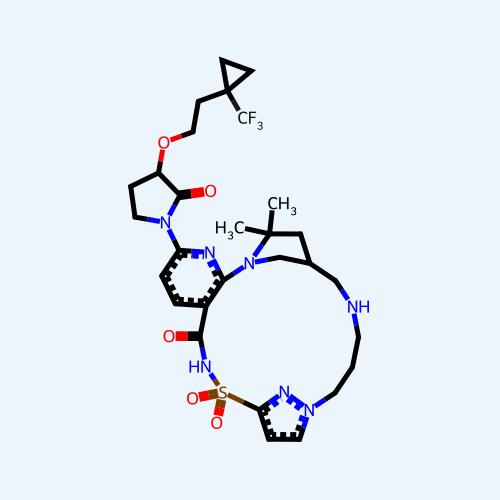 CC1(C)CC2CNCCCn3ccc(n3)S(=O)(=O)NC(=O)c3ccc(N4CCC(OCCC5(C(F)(F)F)CC5)C4=O)nc3N1C2